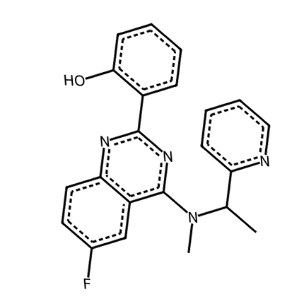 CC(c1ccccn1)N(C)c1nc(-c2ccccc2O)nc2ccc(F)cc12